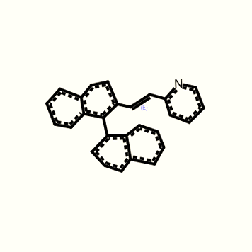 C(=C\c1ccc2ccccc2c1-c1cccc2ccccc12)/c1ccccn1